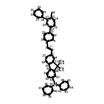 CCC1(CC)c2cc(/C=C/c3ccc(-c4ccc(C)c(-c5ccccc5)c4)cc3)ccc2-c2ccc(N(c3ccccc3)c3ccccc3)cc21